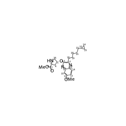 COC(=O)[C@@H]1C[C@@H](Oc2nc3cc(OC)ccc3nc2CCCCCC2CC2)CN1